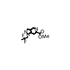 COC(=O)c1cc2c(cn1)cnn2CC(C)(F)F